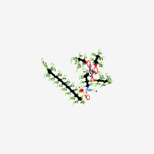 O=S(=O)(N(F)C(F)(F)C(F)(F)C(F)(F)[Si](OC(F)(F)C(F)(F)F)(OC(F)(F)C(F)(F)F)OC(F)(F)C(F)(F)F)C(F)(F)C(F)(F)C(F)(F)C(F)(F)C(F)(F)C(F)(F)C(F)(F)C(F)(F)F